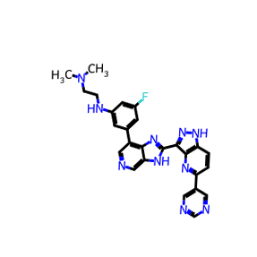 CN(C)CCNc1cc(F)cc(-c2cncc3[nH]c(-c4n[nH]c5ccc(-c6cncnc6)nc45)nc23)c1